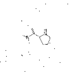 C=C(C1CCCN1)N(C)C